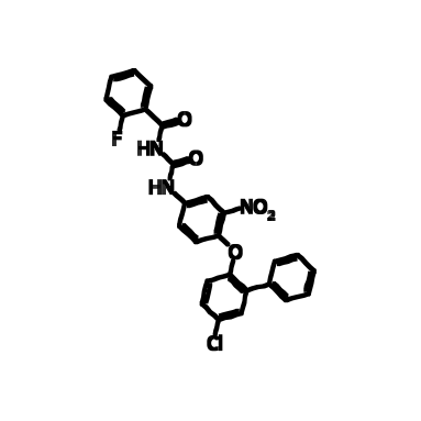 O=C(NC(=O)c1ccccc1F)Nc1ccc(Oc2ccc(Cl)cc2-c2ccccc2)c([N+](=O)[O-])c1